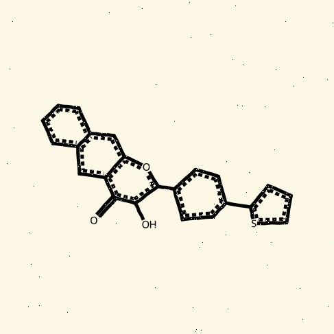 O=c1c(O)c(-c2ccc(-c3cccs3)cc2)oc2cc3ccccc3cc12